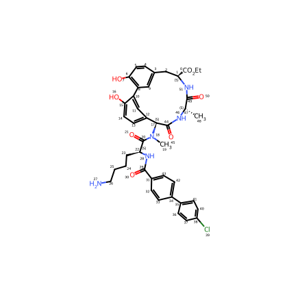 CCOC(=O)[C@@H]1Cc2ccc(O)c(c2)-c2cc(ccc2O)[C@H](N(C)C(=O)[C@H](CCCCN)NC(=O)c2ccc(-c3ccc(Cl)cc3)cc2)C(=O)N[C@@H](C)C(=O)N1